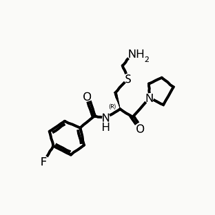 NCSC[C@H](NC(=O)c1ccc(F)cc1)C(=O)N1CCCC1